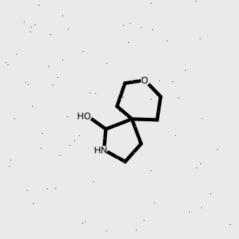 OC1NCCC12CCOCC2